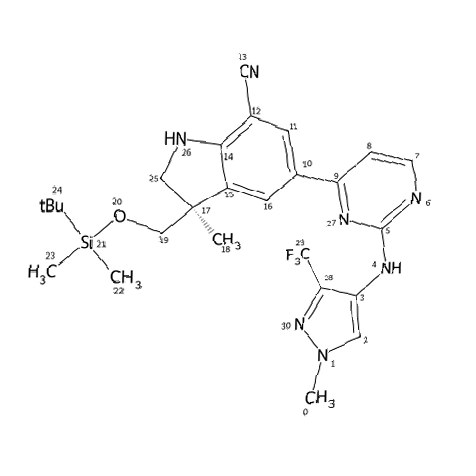 Cn1cc(Nc2nccc(-c3cc(C#N)c4c(c3)[C@@](C)(CO[Si](C)(C)C(C)(C)C)CN4)n2)c(C(F)(F)F)n1